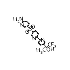 C[C@@](O)(c1ccc(-c2ccc(S(=O)(=O)c3ccc(N)nc3)cn2)nc1)C(F)(F)F